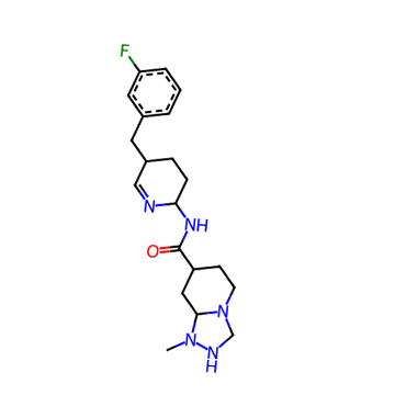 CN1NCN2CCC(C(=O)NC3CCC(Cc4cccc(F)c4)C=N3)CC21